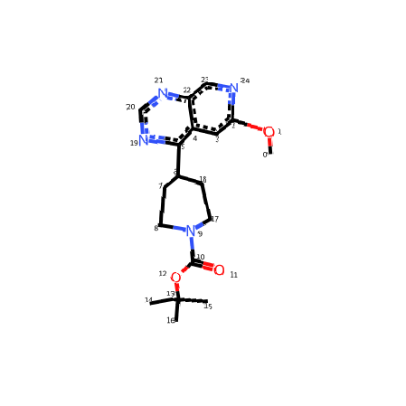 COc1cc2c(C3CCN(C(=O)OC(C)(C)C)CC3)ncnc2cn1